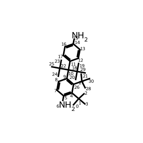 CC(C)(C)c1c(N)ccc(C(c2ccc(N)cc2)(C(C)(C)C)C(C)(C)C)c1C(C)(C)C